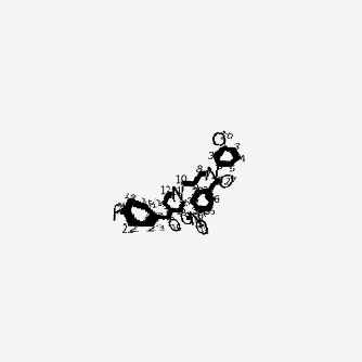 COc1cccc(N(CCCN2CCC(C(=O)c3ccc(F)cc3)CC2)C(=O)c2ccc([N+](=O)[O-])cc2)c1